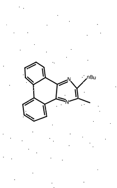 CCCCc1nc2c3ccccc3c3ccccc3c2nc1C